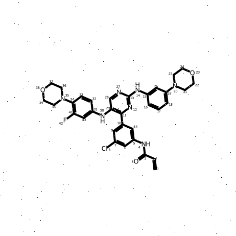 C=CC(=O)Nc1cc(Cl)cc(-c2nc(Nc3cccc(N4CCOCC4)c3)ncc2Nc2ccc(N3CCOCC3)c(F)c2)c1